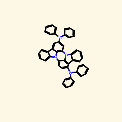 c1ccc(N(c2ccccc2)c2cc3c4ccccc4n4c5ccc(N(c6ccccc6)c6ccccc6)c6c7ccccc7n(c(c2)c34)c65)cc1